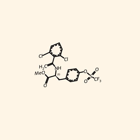 C=C(N[C@@H](Cc1ccc(OS(=O)(=O)C(F)(F)F)cc1)C(=O)OC)c1c(Cl)cccc1Cl